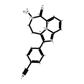 N#Cc1ccc(-c2nc3cccc4n3c2CCN(P)C4=O)cc1